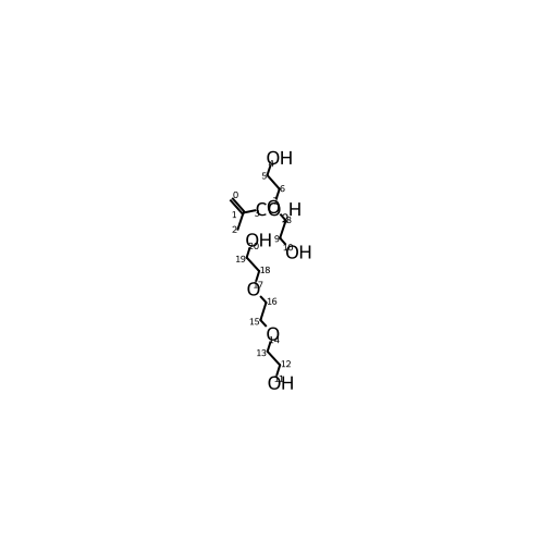 C=C(C)C(=O)O.OCCOCCO.OCCOCCOCCO